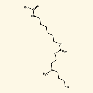 CN(CCOC(=O)NCCCCCCNC(=O)C(C)(C)C)CCOC(C)(C)C